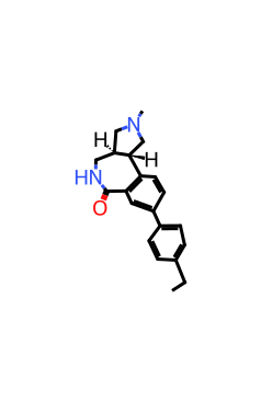 CCc1ccc(-c2ccc3c(c2)C(=O)NC[C@H]2CN(C)C[C@H]32)cc1